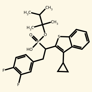 CC(C)C(C)(C)OP(=O)(O)C(Cc1ccc(F)c(F)c1)c1sc2ccccc2c1C1CC1